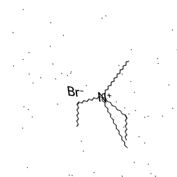 CCCCCCCC/C=C\CCCCCCCC[N+](CCCCCCCC/C=C\CCCCCCCC)(CCCCCCCCCCCCCCCCCC)CCCCCCCCCCCCCCCCCC.[Br-]